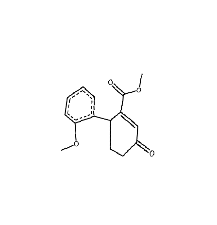 COC(=O)C1=CC(=O)CCC1c1ccccc1OC